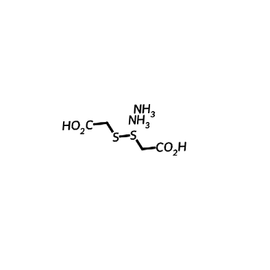 N.N.O=C(O)CSSCC(=O)O